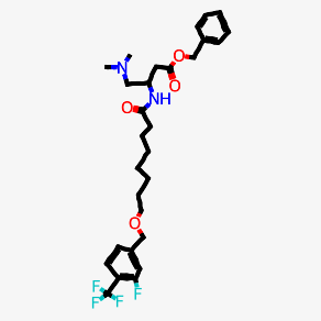 CN(C)CC(CC(=O)OCc1ccccc1)NC(=O)CCCCCCCOCc1ccc(C(F)(F)F)c(F)c1